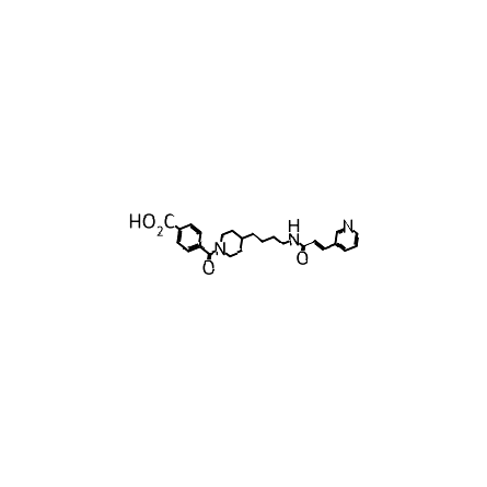 O=C(/C=C/c1cccnc1)NCCCCC1CCN(C(=O)c2ccc(C(=O)O)cc2)CC1